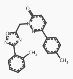 Cc1ccc(-c2ccc(=O)n(Cc3nc(-c4ccccc4C)no3)n2)cc1